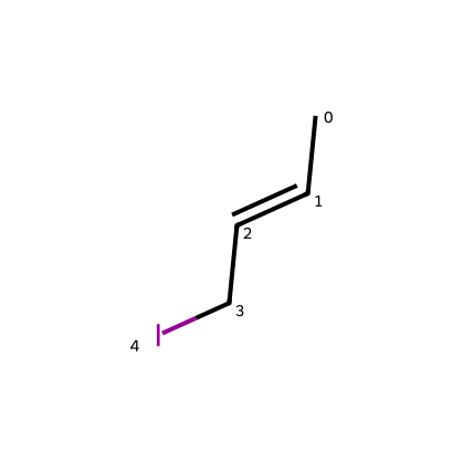 C/C=C/CI